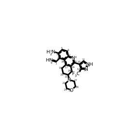 N=Cc1c(N)ccc2nc(-c3c[nH]nc3C(F)(F)F)c3c(c12)CCC(N1CCOCC1)C3